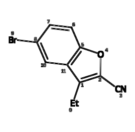 CCc1c(C#N)oc2ccc(Br)cc12